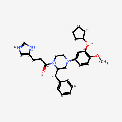 COc1ccc(N2CCN(C(=O)CCc3cnc[nH]3)C(Cc3ccccc3)C2)cc1OC1CCCC1